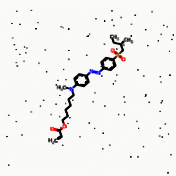 C=CC(=O)OCCCCCCN(C)c1ccc(N=Nc2ccc(S(=O)(=O)C[C@H](C)CC)cc2)cc1